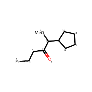 COC(C(=O)CCC(C)C)C1CCCC1